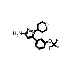 Nc1cc(-c2cccc(OC(F)(F)F)c2)n(C2CCOCC2)n1